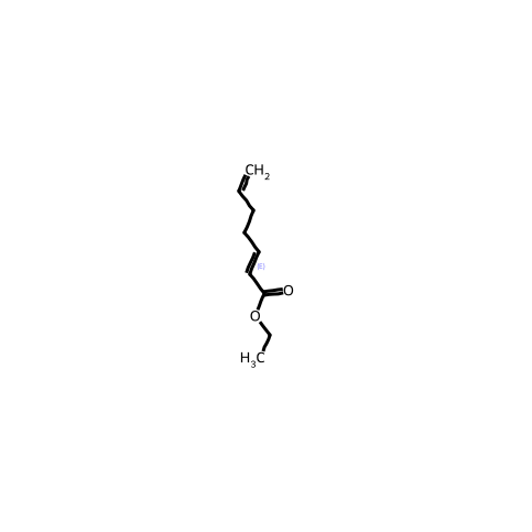 C=CCC/C=C/C(=O)OCC